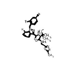 Cc1nnc(CNC(=O)[C@@H](NC(=O)c2nn(Cc3ccc(C#N)cc3F)c3c(F)cccc23)C(C)(C)C)o1